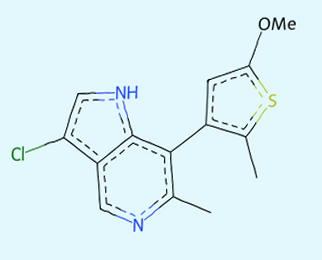 COc1cc(-c2c(C)ncc3c(Cl)c[nH]c23)c(C)s1